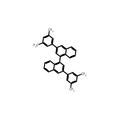 FC(F)(F)c1cc(-c2[c]c(-c3[c]c(-c4cc(C(F)(F)F)cc(C(F)(F)F)c4)cc4ccccc34)c3ccccc3c2)cc(C(F)(F)F)c1